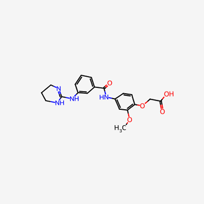 COc1cc(NC(=O)c2cccc(NC3=NCCCN3)c2)ccc1OCC(=O)O